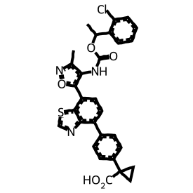 Cc1noc(-c2ccc(-c3ccc(C4(C(=O)O)CC4)cc3)c3ncsc23)c1NC(=O)OC(C)c1ccccc1Cl